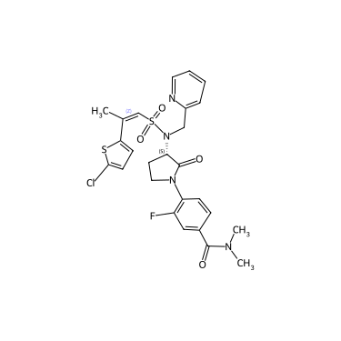 C/C(=C/S(=O)(=O)N(Cc1ccccn1)[C@H]1CCN(c2ccc(C(=O)N(C)C)cc2F)C1=O)c1ccc(Cl)s1